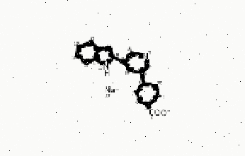 O=C([O-])c1ccc(-c2cncc(-c3cc4ccccc4[nH]3)c2)cc1.[Na+]